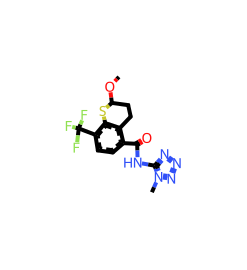 COC1CCc2c(C(=O)Nc3nnnn3C)ccc(C(F)(F)F)c2S1